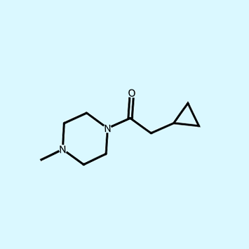 CN1CCN(C(=O)CC2CC2)CC1